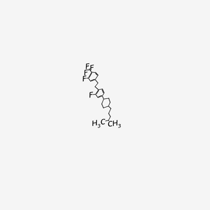 CC(C)CCCC1CCC(c2ccc(CCc3ccc(C(F)(F)F)c(F)c3)c(F)c2)CC1